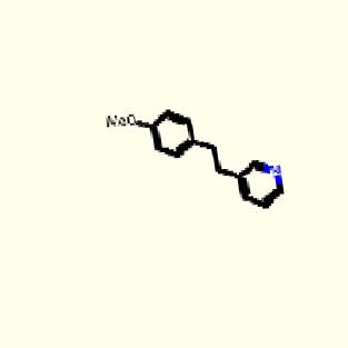 COc1ccc(CCc2cccnc2)cc1